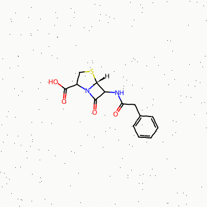 O=C(Cc1ccccc1)NC1C(=O)N2C(C(=O)O)CS[C@H]12